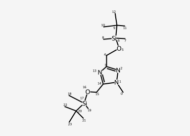 Cn1nc(CO[Si](C)(C)C(C)(C)C)nc1CO[Si](C)(C)C(C)(C)C